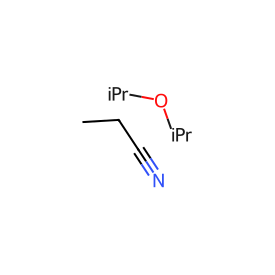 CC(C)OC(C)C.CCC#N